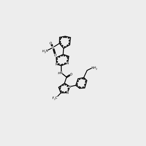 NCc1cccc(-n2nc(C(F)(F)F)cc2C(=O)Nc2ncc(-c3ccccc3S(N)(=O)=O)cn2)c1